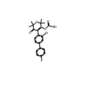 CCc1cc(-c2ccc(F)cc2)ccc1C1=C(OC(=O)C(C)(C)C)C(C)(C)OC(C)(C)C1=O